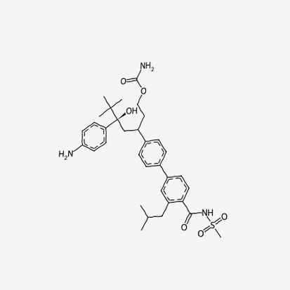 CC(C)Cc1cc(-c2ccc(C(CCOC(N)=O)C[C@](O)(c3ccc(N)cc3)C(C)(C)C)cc2)ccc1C(=O)NS(C)(=O)=O